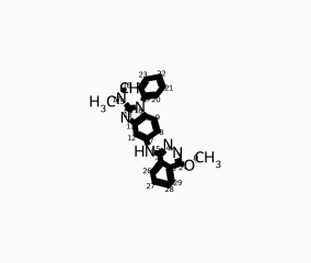 COc1nnc(Nc2ccc3c(c2)nc(N(C)C)n3-c2ccccc2)c2ccccc12